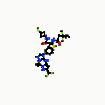 Cn1nc(C(F)F)cc1Nc1nncn1[C@H]1CCc2sc(NC(=O)CC(C)(F)F)c(C(=O)N[C@H]3C[C@H](F)C3)c2C1